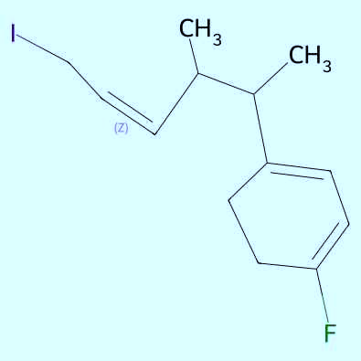 CC(/C=C\CI)C(C)C1=CC=C(F)CC1